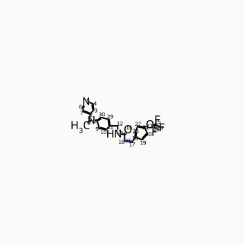 CN(c1ccncc1)c1ccc(CNC(=O)/C=C\c2ccc(OC(F)(F)F)cc2)cc1